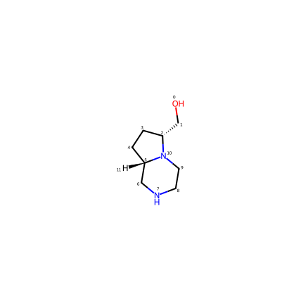 OC[C@H]1CC[C@H]2CNCCN12